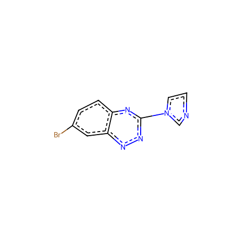 Brc1ccc2nc(-n3ccnc3)nnc2c1